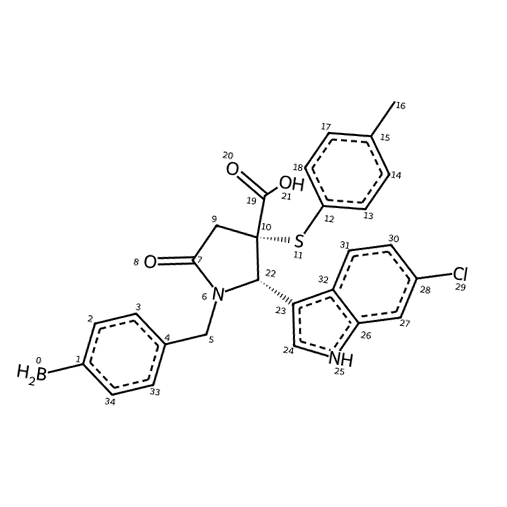 Bc1ccc(CN2C(=O)C[C@@](Sc3ccc(C)cc3)(C(=O)O)[C@@H]2c2c[nH]c3cc(Cl)ccc23)cc1